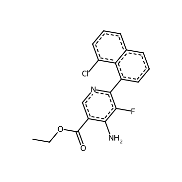 CCOC(=O)c1cnc(-c2cccc3cccc(Cl)c23)c(F)c1N